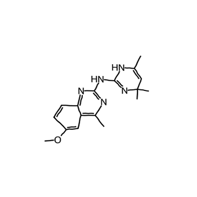 COc1ccc2nc(NC3=NC(C)(C)C=C(C)N3)nc(C)c2c1